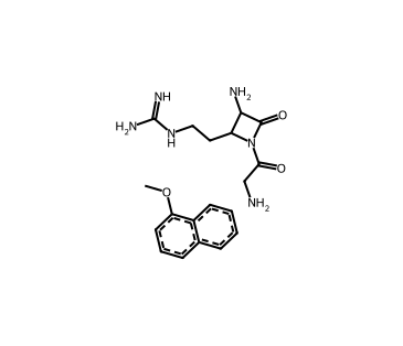 COc1cccc2ccccc12.N=C(N)NCCC1C(N)C(=O)N1C(=O)CN